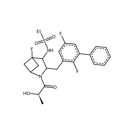 CCS(=O)(=O)NC1C(Cc2cc(F)cc(-c3ccccc3)c2F)N(C(=O)[C@@H](C)O)C2CC1(F)C2